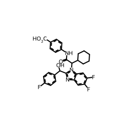 O=C(O)c1ccc(NC(=O)C(C2CCCCC2)n2c(C(O)c3ccc(F)cc3)nc3cc(F)c(F)cc32)cc1